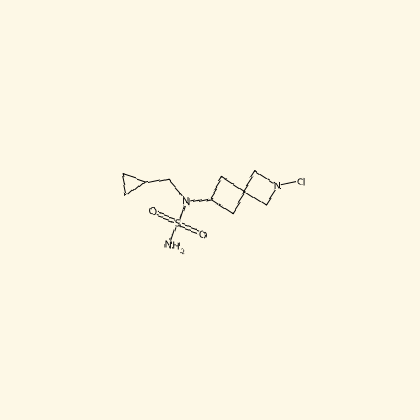 NS(=O)(=O)N(CC1CC1)C1CC2(C1)CN(Cl)C2